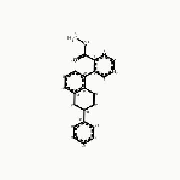 COC(=O)c1ncncc1-c1cccc2c1CCC(c1ccccc1)C2